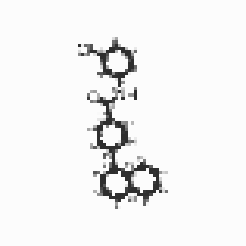 O=C(Nc1cccc(Cl)c1)c1ccc(-c2cccc3ccccc23)cc1